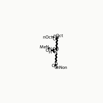 CCCCCCCCCOC(=O)OCCCCCCN(CCCCCCCC(=O)OC(CCCCCCCC)CCCCCCCC)CC(O)CNC(=O)NC